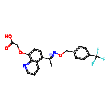 C/C(=N\OCc1ccc(C(F)(F)F)cc1)c1ccc(OCC(=O)O)c2ncccc12